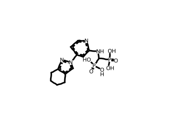 O=P(O)(O)C(Nc1cc(-n2cc3c(n2)CCCC3)ccn1)P(=O)(O)O